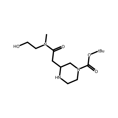 CN(CCO)C(=O)CC1CN(C(=O)OC(C)(C)C)CCN1